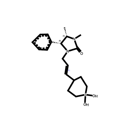 C[C@H]1[C@@H](c2ccccc2)N(C/C=C/C2CCS(O)(O)CC2)C(=O)N1C